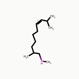 CPCC(C)CCCC/C=C\C(C)C